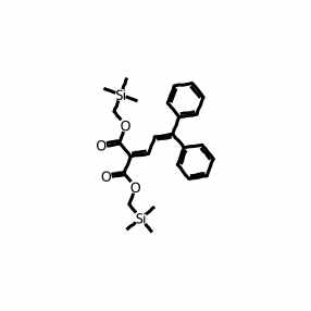 C[Si](C)(C)COC(=O)C(=CC=C(c1ccccc1)c1ccccc1)C(=O)OC[Si](C)(C)C